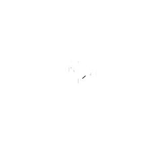 B[SiH3].[CaH2].[NaH]